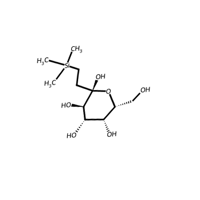 C[Si](C)(C)CC[C@]1(O)O[C@H](CO)[C@H](O)[C@H](O)[C@H]1O